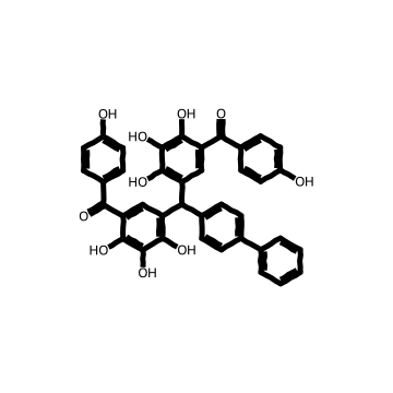 O=C(c1ccc(O)cc1)c1cc(C(c2ccc(-c3ccccc3)cc2)c2cc(C(=O)c3ccc(O)cc3)c(O)c(O)c2O)c(O)c(O)c1O